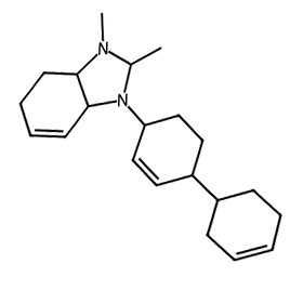 CC1N(C)C2CCC=CC2N1C1C=CC(C2CC=CCC2)CC1